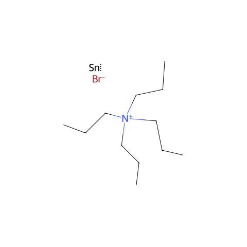 CCC[N+](CCC)(CCC)CCC.[Br-].[Sn]